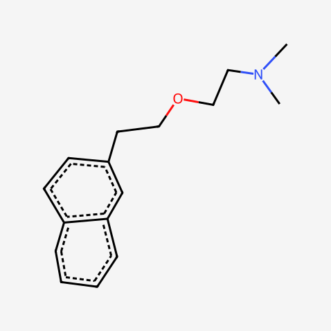 CN(C)CCOCCc1ccc2ccccc2c1